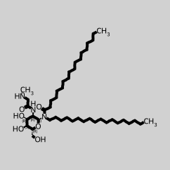 CCCCCCCCCCCCCCCCCCN(C(=O)CCCCCCCCCCCCCCCCC)[C@@H]1O[C@H](CO)[C@@H](O)[C@H](O)[C@H]1NC(=O)CNC